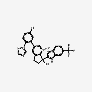 [O-][n+]1cc(-c2cc(Cl)ccc2-n2cnnn2)cc2c1C(O)(c1nc3ccc(C(F)(F)F)cc3[nH]1)CC2